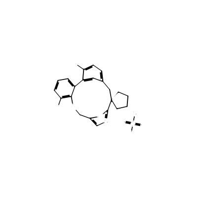 CS(=O)(=O)N[C@H]1CC[C@@]2(Cc3ccc(F)c(c3)-c3cccc(F)c3OCc3cnc2o3)C1